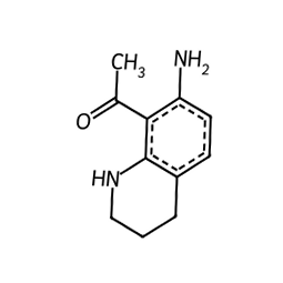 CC(=O)c1c(N)ccc2c1NCCC2